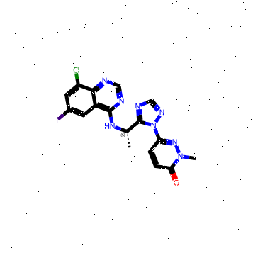 C[C@H](Nc1ncnc2c(Cl)cc(I)cc12)c1ncnn1-c1ccc(=O)n(C)n1